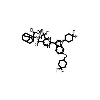 O=C(NC1(C(=O)O)C2CC3CC(C2)CC1C3)c1cnc(-c2cn(C3CCC(F)(F)CC3)c3cc(OC4CCC(F)(F)CC4)ccc23)nc1C(F)(F)F